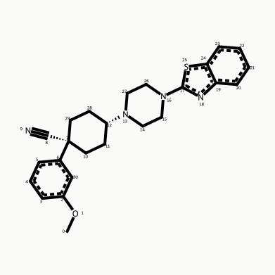 COc1cccc([C@]2(C#N)CC[C@@H](N3CCN(c4nc5ccccc5s4)CC3)CC2)c1